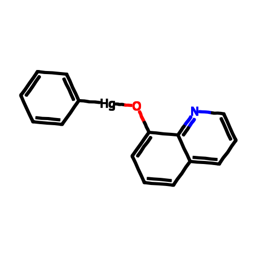 c1cc[c]([Hg][O]c2cccc3cccnc23)cc1